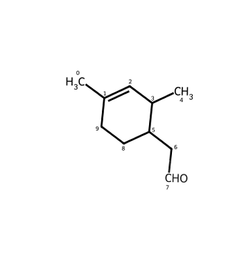 CC1=CC(C)C(CC=O)CC1